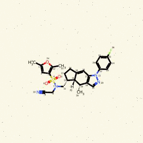 Cc1cc(S(=O)(=O)N(CC#N)C[C@@H]2CCC3=Cc4c(cnn4-c4ccc(F)cc4)[C@H](C)[C@@H]32)c(C)o1